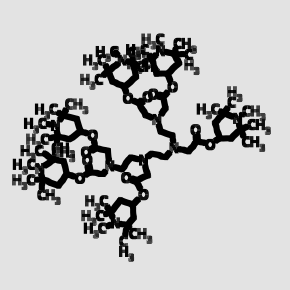 CN1C(C)(C)CC(OC(=O)CN(CCN(CCN(CC(=O)OC2CC(C)(C)N(C)C(C)(C)C2)CC(=O)OC2CC(C)(C)N(C)C(C)(C)C2)CC(=O)OC2CC(C)(C)N(C)C(C)(C)C2)CCN(CC(=O)OC2CC(C)(C)N(C)C(C)(C)C2)CC(=O)OC2CC(C)(C)N(C)C(C)(C)C2)CC1(C)C